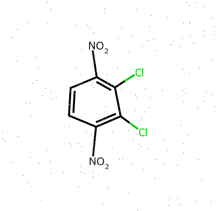 O=[N+]([O-])c1ccc([N+](=O)[O-])c(Cl)c1Cl